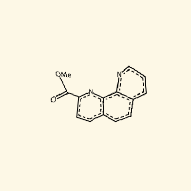 COC(=O)c1ccc2ccc3cccnc3c2n1